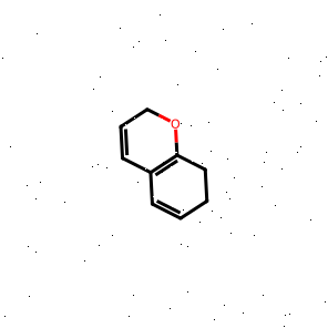 C1=CC2=C(CC1)OCC=C2